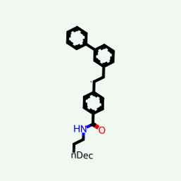 CCCCCCCCCCCCNC(=O)c1ccc([CH]Cc2cccc(-c3ccccc3)c2)cc1